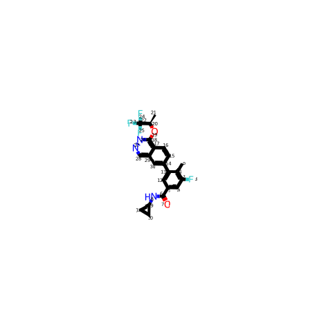 Cc1c(F)cc(C(=O)NC2CC2)cc1-c1ccc2c(O[C@H](C)C(F)(F)F)nncc2c1